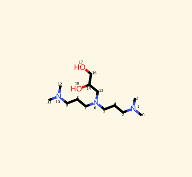 CN(C)CCCN(CCCN(C)C)CC(O)CO